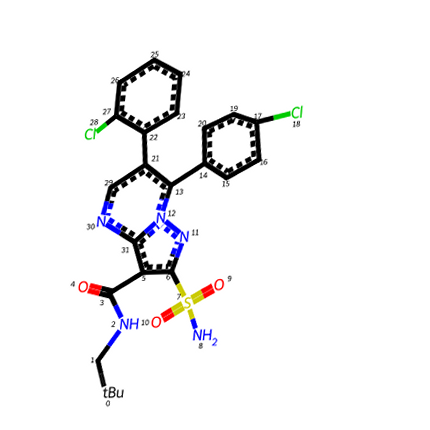 CC(C)(C)CNC(=O)c1c(S(N)(=O)=O)nn2c(-c3ccc(Cl)cc3)c(-c3ccccc3Cl)cnc12